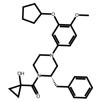 COc1ccc(N2CCN(C(=O)C3(O)CC3)[C@@H](Cc3ccccc3)C2)cc1OC1CCCC1